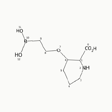 O=C(O)C1NCCCC1OCCB(O)O